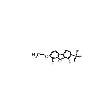 CCOc1ccc2c(oc3c(F)c(C(F)(F)F)ccc32)c1F